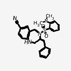 CN(C)c1ccccc1S(=O)(=O)N1Cc2cc(C#N)ccc2NCC1Cc1ccccc1